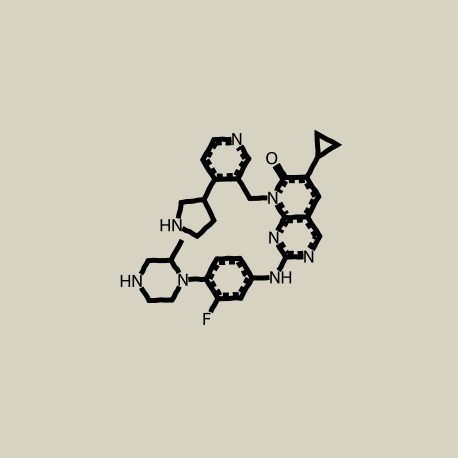 CC1CNCCN1c1ccc(Nc2ncc3cc(C4CC4)c(=O)n(Cc4cnccc4C4CCNC4)c3n2)cc1F